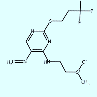 C=Nc1cnc(SCCC(F)(F)F)nc1NCC[S+](C)[O-]